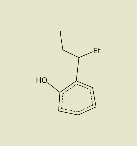 CCC(CI)c1ccccc1O